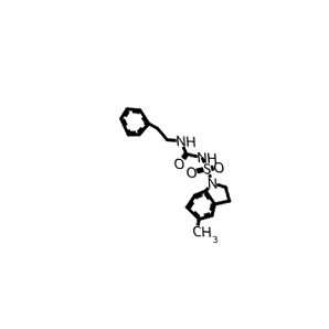 Cc1ccc2c(c1)CCN2S(=O)(=O)NC(=O)NCCc1ccccc1